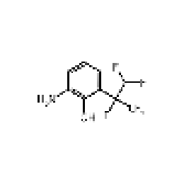 Nc1cccc(C(F)(C(F)F)C(F)(F)F)c1O